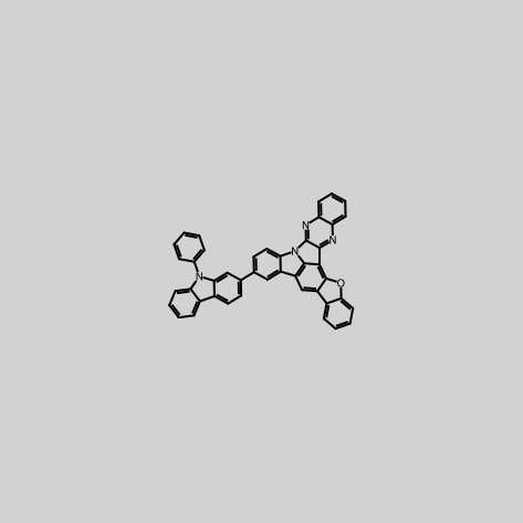 c1ccc(-n2c3ccccc3c3ccc(-c4ccc5c(c4)c4cc6c7ccccc7oc6c6c7nc8ccccc8nc7n5c46)cc32)cc1